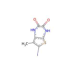 Cc1c(I)sc2[nH]c(=O)c(=O)[nH]c12